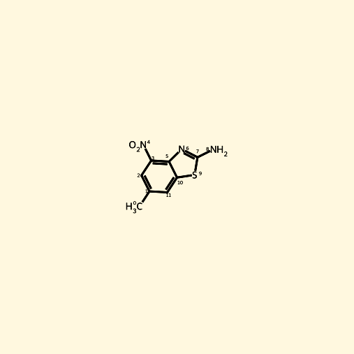 Cc1cc([N+](=O)[O-])c2nc(N)sc2c1